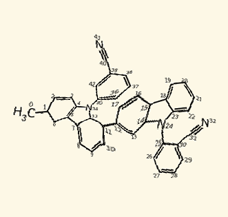 CC1C=CC2=C(C1)C1=CC=CC(C3=CC4C(C=C3)c3ccccc3N4c3ccccc3C#N)C1N2c1cccc(C#N)c1